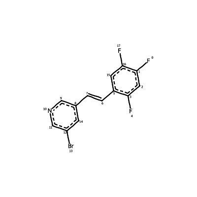 Fc1cc(F)c(C=Cc2cncc(Br)c2)cc1F